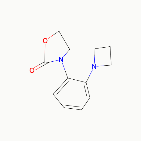 O=C1OCCN1c1ccccc1N1CCC1